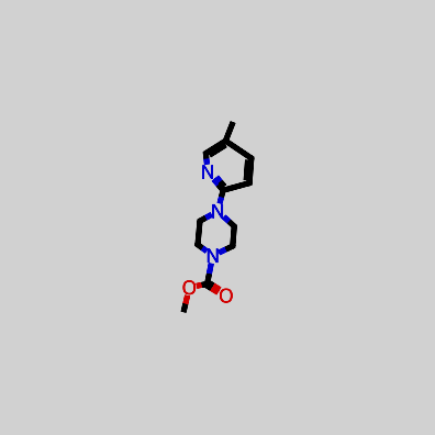 COC(=O)N1CCN(c2ccc(C)cn2)CC1